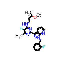 CCOC(C)CCNc1nc(-c2nn(Cc3ccccc3F)c3ncccc23)nc(C)c1F